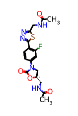 CC(=O)NCc1nnc(-c2ccc(N3C[C@H](CNC(C)=O)OC3=O)cc2F)s1